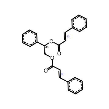 O=C(/C=C/c1ccccc1)OC[C@H](OC(=O)/C=C/c1ccccc1)c1ccccc1